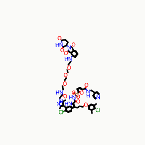 Cc1cc(OCCCc2c(C(=O)NS(=O)(=O)c3ccc(C(=O)NCc4ccncc4)o3)[nH]c3c(-c4c(C)nn(CC(=O)NCCOCCOCCOCCNc5cccc6c5C(=O)N(C5CCC(=O)NC5=O)C6=O)c4C)c(Cl)ccc23)cc(C)c1Cl